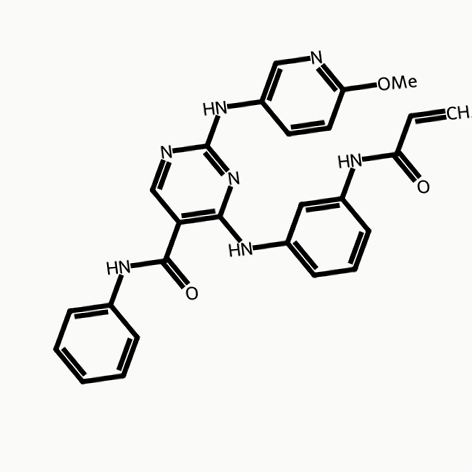 C=CC(=O)Nc1cccc(Nc2nc(Nc3ccc(OC)nc3)ncc2C(=O)Nc2ccccc2)c1